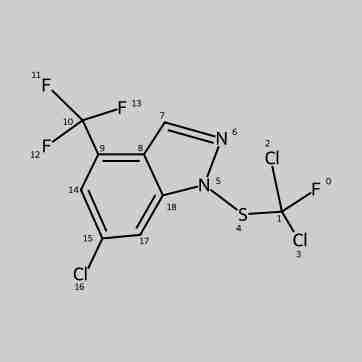 FC(Cl)(Cl)Sn1ncc2c(C(F)(F)F)cc(Cl)cc21